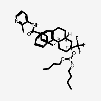 CCCCOP(OCCCC)O[C@]1(C(F)(F)F)CC[C@@]2(Cc3ccccc3)c3ccc(C(=O)Nc4cccnc4C)cc3CC[C@@H]2C1